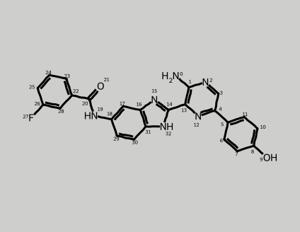 Nc1ncc(-c2ccc(O)cc2)nc1-c1nc2cc(NC(=O)c3cccc(F)c3)ccc2[nH]1